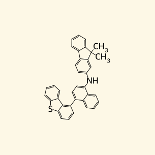 CC1(C)c2ccccc2-c2ccc(Nc3ccc(-c4cccc5sc6ccccc6c45)c4ccccc34)cc21